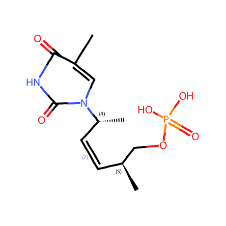 Cc1cn([C@H](C)/C=C\[C@H](C)COP(=O)(O)O)c(=O)[nH]c1=O